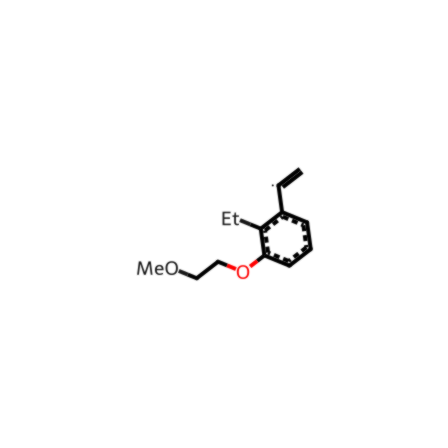 C=[C]c1cccc(OCCOC)c1CC